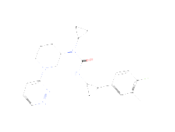 Cc1cc(C2CC2NC(=O)N(C2CC2)[C@@H]2CCCN(c3cccnn3)C2)ccc1F